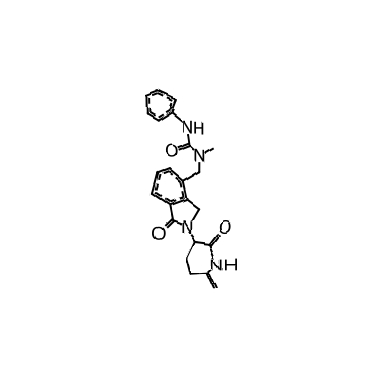 C=C1CCC(N2Cc3c(CN(C)C(=O)Nc4ccccc4)cccc3C2=O)C(=O)N1